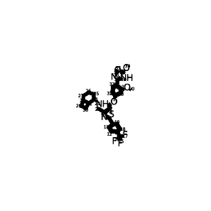 COc1cc(OCc2sc(-c3ccc(C(F)(F)F)cc3)nc2CN[C@@H]2CCCC3CCC32)ccc1-c1noc(=O)[nH]1